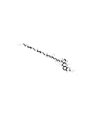 N=C(c1ccc2oc(N)nc2c1)c1c(N)ncnc1NCCCCC(=O)NCCOCCOCCOCCOCCOCCO